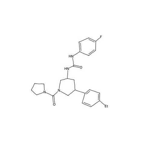 CCc1ccc(C2CC(NC(=O)Nc3ccc(F)cc3)CN(C(=O)N3CCCC3)C2)cc1